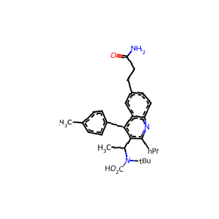 CCCc1nc2ccc(CCC(N)=O)cc2c(-c2ccc(C)cc2)c1C(C)N(C(=O)O)C(C)(C)C